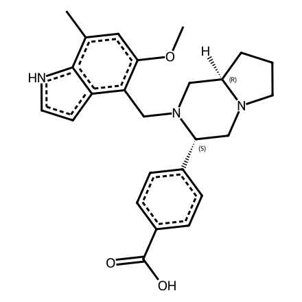 COc1cc(C)c2[nH]ccc2c1CN1C[C@H]2CCCN2C[C@@H]1c1ccc(C(=O)O)cc1